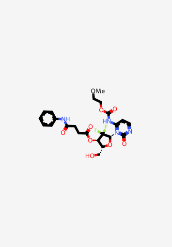 COCCOC(=O)Nc1ccnc(=O)n1[C@@H]1O[C@H](CO)[C@@H](OC(=O)CCC(=O)Nc2ccccc2)C1(F)F